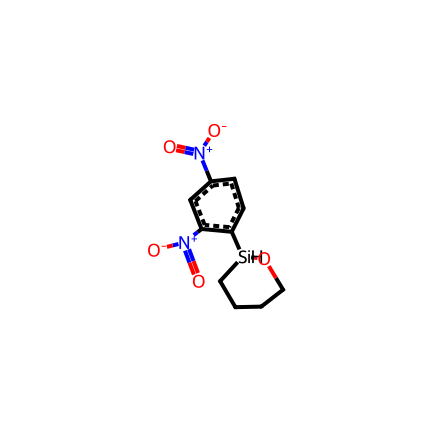 O=[N+]([O-])c1ccc([SiH]2CCCCO2)c([N+](=O)[O-])c1